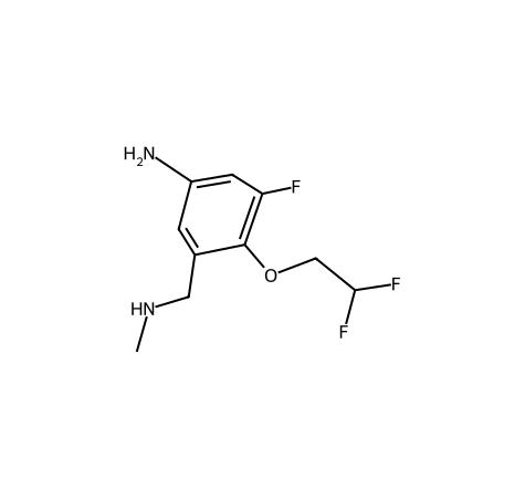 CNCc1cc(N)cc(F)c1OCC(F)F